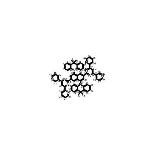 CC1(C)c2ccccc2N(c2cc(-c3nc(-c4cccnc4)cc(-c4ccccn4)n3)cc3c(N4c5ccccc5C(C)(C)c5ccccc54)cc(-c4nc(-c5cccnc5)cc(-c5ccccn5)n4)cc23)c2ccccc21